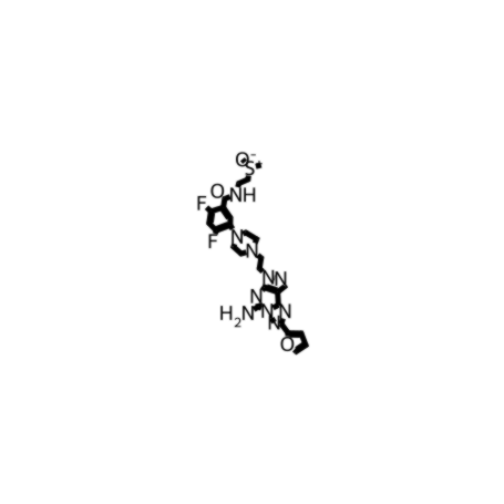 C[S+]([O-])CCNC(=O)c1cc(N2CCN(CCn3ncc4c3nc(N)n3nc(-c5ccco5)nc43)CC2)c(F)cc1F